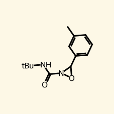 Cc1cccc(C2ON2C(=O)NC(C)(C)C)c1